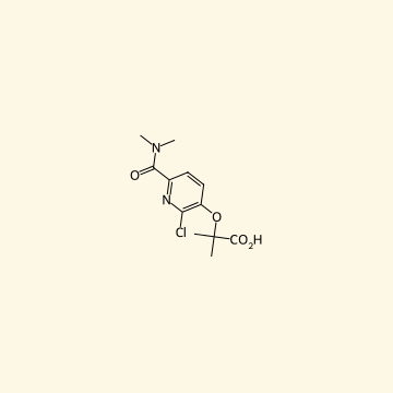 CN(C)C(=O)c1ccc(OC(C)(C)C(=O)O)c(Cl)n1